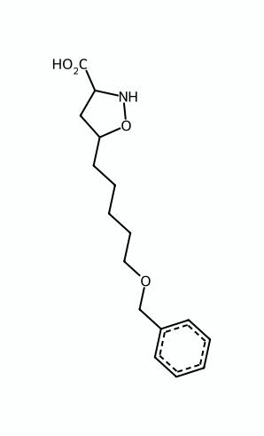 O=C(O)C1CC(CCCCCOCc2ccccc2)ON1